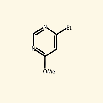 CCc1cc(OC)ncn1